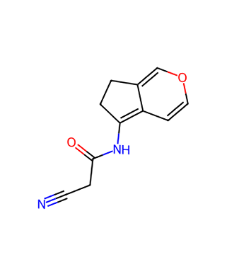 N#CCC(=O)NC1=C2C=COC=C2CC1